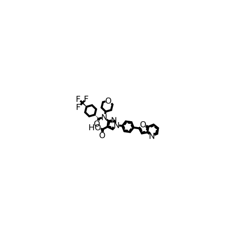 O=C(O)c1cn(-c2ccc(-c3cc4ncccc4o3)cc2)nc1N(C(=O)[C@H]1CC[C@H](C(F)(F)F)CC1)C1CCOCC1